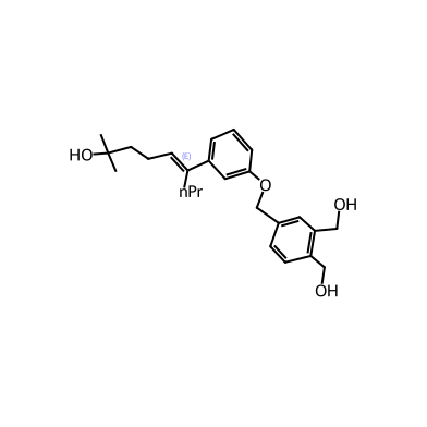 CCC/C(=C\CCC(C)(C)O)c1cccc(OCc2ccc(CO)c(CO)c2)c1